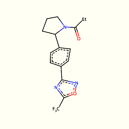 CCC(=O)N1CCCC1c1ccc(-c2noc(C(F)(F)F)n2)cc1